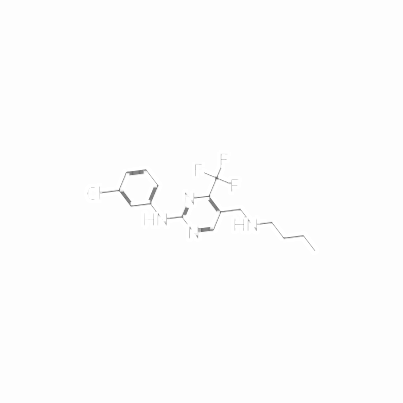 CCCCNCc1cnc(Nc2cccc(Cl)c2)nc1C(F)(F)F